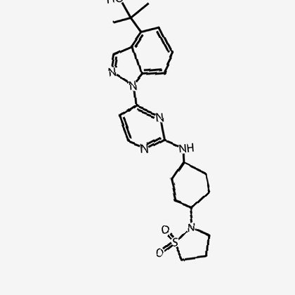 CC(C)(O)c1cccc2c1cnn2-c1ccnc(NC2CCC(N3CCCS3(=O)=O)CC2)n1